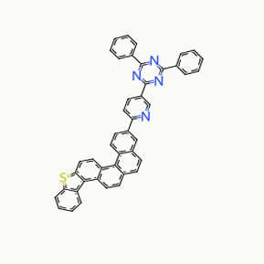 c1ccc(-c2nc(-c3ccccc3)nc(-c3ccc(-c4ccc5c(ccc6ccc7c(ccc8sc9ccccc9c87)c65)c4)nc3)n2)cc1